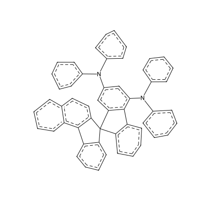 c1ccc(N(c2ccccc2)c2cc(N(c3ccccc3)c3ccccc3)c3c(c2)C2(c4ccccc4-3)c3ccccc3-c3c2ccc2ccccc32)cc1